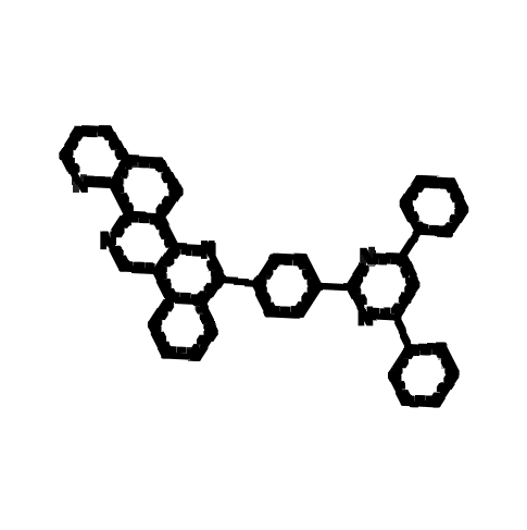 c1ccc(-c2cc(-c3ccccc3)nc(-c3ccc(-c4nc5c(cnc6c5ccc5cccnc56)c5ccccc45)cc3)n2)cc1